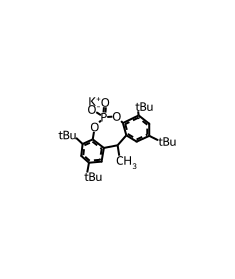 CC1c2cc(C(C)(C)C)cc(C(C)(C)C)c2OP(=O)([O-])Oc2c1cc(C(C)(C)C)cc2C(C)(C)C.[K+]